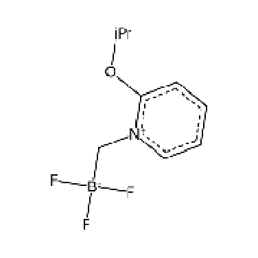 CC(C)Oc1cccc[n+]1C[B-](F)(F)F